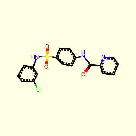 O=C(Nc1ccc(S(=O)(=O)Nc2cccc(Cl)c2)cc1)c1ccccn1